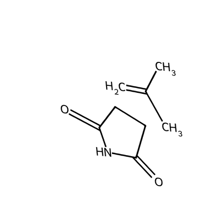 C=C(C)C.O=C1CCC(=O)N1